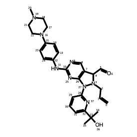 C=CCN1C(C=O)c2cnc(Nc3ccc(N4CCN(C)CC4)cc3)nc2N1c1cccc(C(C)(C)O)n1